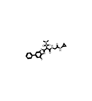 CN(C)S(=O)(=O)C(C(=O)NCC(=O)NC1CC1)c1nc2c(F)cc(-c3ccccc3)cc2s1